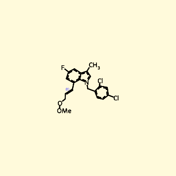 COOC/C=C/c1cc(F)cc2c(C)cn(Cc3ccc(Cl)cc3Cl)c12